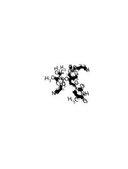 Cc1cn([C@H]2CC(OP(OCCC#N)N(C(C)C)C(C)C)C3(COP(=O)(OCCC#N)OC3)O2)c(=O)[nH]c1=O